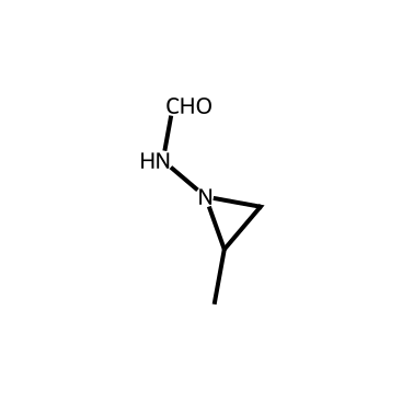 CC1CN1NC=O